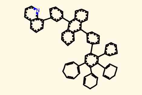 C1=CCC=CC(c2cc(-c3cccc(-c4c5ccccc5c(-c5cccc(-c6cccc7cccnc67)c5)c5ccccc45)c3)c(-c3ccccc3)c(C3=CCCC=C3)c2C2=CCCC=C2)=C1